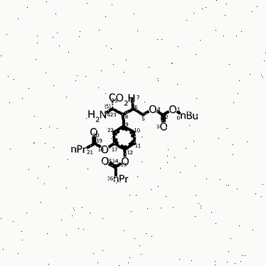 CCCCOC(=O)OCC(C)C(c1ccc(OC(=O)CCC)c(OC(=O)CCC)c1)[C@H](N)C(=O)O